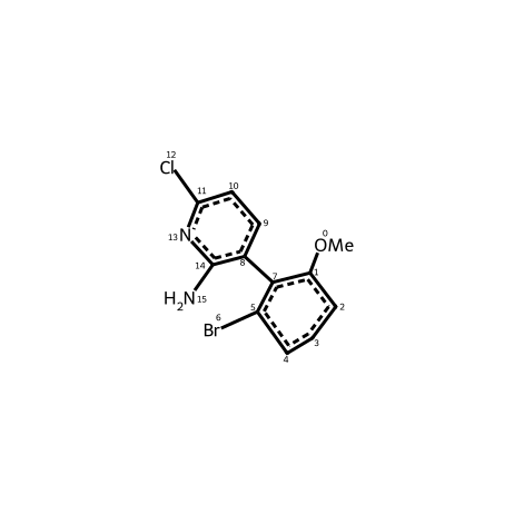 COc1cccc(Br)c1-c1ccc(Cl)nc1N